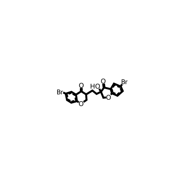 O=C1c2cc(Br)ccc2OCC1CCC1(O)COc2ccc(Br)cc2C1=O